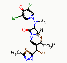 CC(=O)N(C1C(=O)N2C=C(C(S)c3nnc(C)s3)C(C(=O)O)S[C@H]12)n1cc(Br)c(=O)c(Br)c1